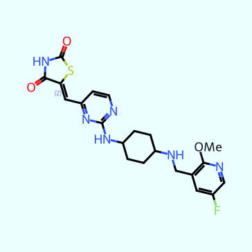 COc1ncc(F)cc1CNC1CCC(Nc2nccc(/C=C3\SC(=O)NC3=O)n2)CC1